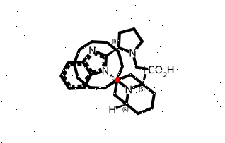 O=C(O)CN1CCC[C@@H]1c1nc2ccccc2n1[C@H]1C[C@H]2CCC[C@@H](C1)N2C1CCCCCCCCC1